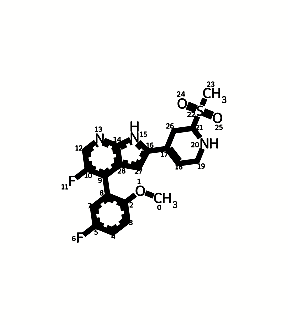 COc1ccc(F)cc1-c1c(F)cnc2[nH]c(C3=CCNC(S(C)(=O)=O)C3)cc12